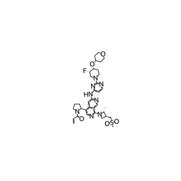 C=CC(=O)N1CCCC1c1cnc(N2C[C@H](CS(C)(=O)=O)[C@H]2C)c2cnc(Nc3ccnc(N4CC[C@@H](OC5CCOCC5)[C@@H](F)C4)n3)cc12